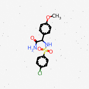 COc1ccc(C(NS(=O)(=O)c2ccc(Cl)cc2)C(N)=O)cc1